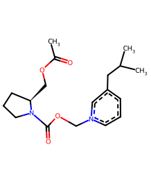 CC(=O)OC[C@@H]1CCCN1C(=O)OC[n+]1cccc(CC(C)C)c1